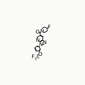 O=C(c1cnc2c(c1)ncn2-c1cccc(OC(F)(F)F)c1)N1CCC(F)CC1